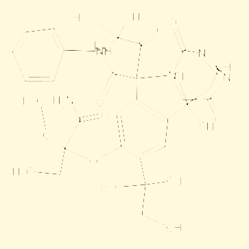 CCC(OC)(Oc1cc(C(C(=O)Nc2ccccc2)(C(=O)C(C)(C)C)N2CC(=O)N=NC2=O)c(C(C)(C)CC)cc1C(C)(C)CC)C(N)=O